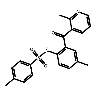 Cc1ccc(S(=O)(=O)Nc2ccc(C)cc2C(=O)c2cccnc2C)cc1